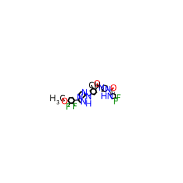 COc1ccc(-c2cnc3c(Nc4ccc(C(=O)N5CCN(C(=O)[C@@H]6CC(F)(F)CN6)CC5)c(C)c4)nccn23)c(F)c1F